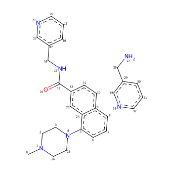 CN1CCN(c2cccc3ccc(C(=O)NCc4cccnc4)cc23)CC1.NCc1cccnc1